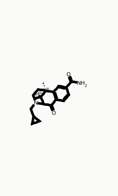 C[C@H]1C2C(=O)c3ccc(C(N)=O)cc3[C@]1(C)CCN2CC1CC1